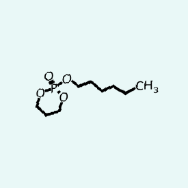 CCCCCCOP1(=O)OCCCO1